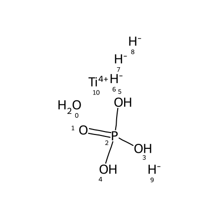 O.O=P(O)(O)O.[H-].[H-].[H-].[H-].[Ti+4]